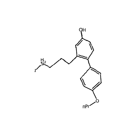 CCCOc1ccc(-c2ccc(O)cc2CCC[SiH2]I)cc1